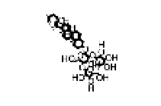 C[C@@H]1CC[C@@]2(OC1)O[C@H]1C[C@H]3[C@@H]4CC=C5C[C@@H](O[C@@H]6O[C@H](CO)[C@@H](O[C@@H]7O[C@@H](CO)[C@H](O)[C@H]7O)[C@H](O)[C@H]6O[C@@H]6O[C@@H](C)[C@H](O)[C@@H](O)[C@H]6O)CC[C@]5(C)[C@H]4CC[C@]3(C)[C@H]1[C@@H]2C